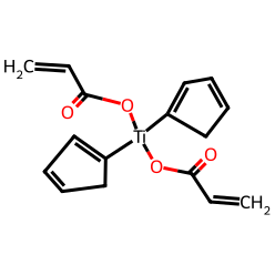 C=CC(=O)[O][Ti]([O]C(=O)C=C)([C]1=CC=CC1)[C]1=CC=CC1